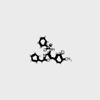 Cc1ccc(-c2oc(Cc3ccccc3)nc2NS(=O)(=O)c2ccccc2)cc1Cl